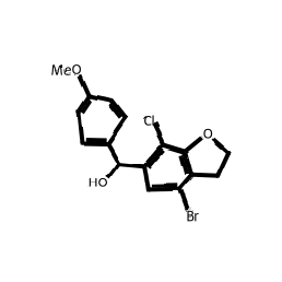 COc1ccc(C(O)c2cc(Br)c3c(c2Cl)OCC3)cc1